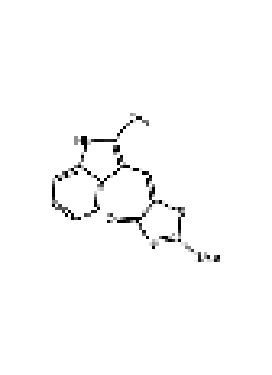 CSC1=NC(=O)C(=Cc2c(C)[nH]c3ccccc23)S1